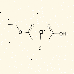 CCOC(=O)CC(Cl)(Cl)CC(=O)O